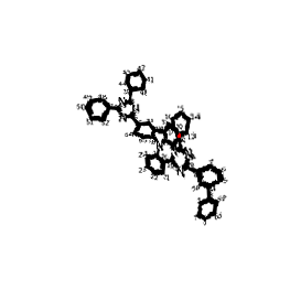 c1ccc(-c2cccc(-c3nc(-c4ccccc4)nc(-c4ccccc4-n4c5ccccc5c5cc(-c6nc(-c7ccccc7)nc(-c7ccccc7)n6)ccc54)n3)c2)cc1